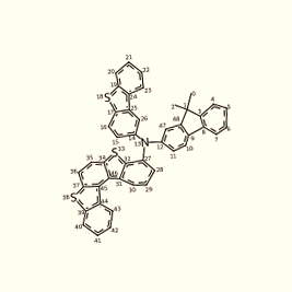 CC1(C)c2ccccc2-c2ccc(N(c3ccc4sc5ccccc5c4c3)c3cccc4c3sc3ccc5sc6ccccc6c5c34)cc21